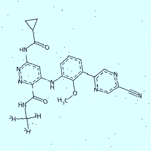 [2H]C([2H])([2H])NC(=O)c1nnc(NC(=O)C2CC2)cc1Nc1cccc(-c2cnc(C#N)cn2)c1OC